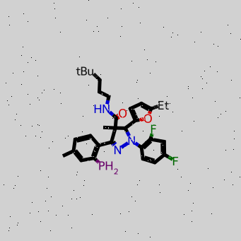 CCc1ccc(C2N(c3ccc(F)cc3F)N=C(c3ccc(C)cc3P)C2(C)C(=O)NCCCC(C)(C)C)o1